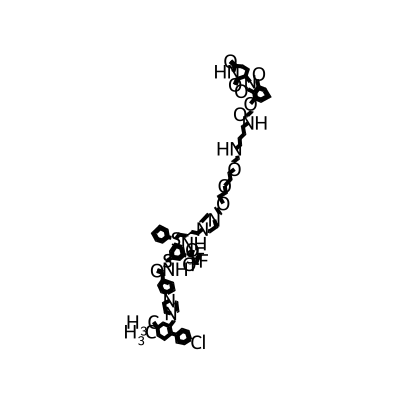 CC1(C)CCC(c2ccc(Cl)cc2)=C(CN2CCN(c3ccc(C(=O)NSc4ccc(N[C@H](CCN5CCN(CCOCCOCCOCCNCCCCNC(=O)COc6cccc7c6C(=O)N(C6CCC(=O)NC6=O)C7=O)CC5)CSc5ccccc5)c(S(=O)(=O)C(F)(F)F)c4)cc3)CC2)C1